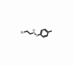 Cc1ccc(SNCCBr)cc1